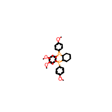 COc1ccc(P(c2ccc(OC)cc2)C2CCCCC2P(c2ccc(OC)cc2)c2ccc(OC)cc2)cc1